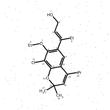 CCOc1c(/C(=C/CO)CC)cc2c(c1Cl)OC(C)(C)C=C2C(C)C